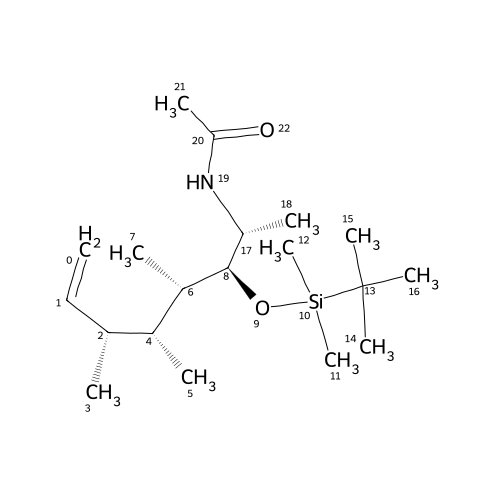 C=C[C@@H](C)[C@@H](C)[C@H](C)[C@H](O[Si](C)(C)C(C)(C)C)[C@@H](C)NC(C)=O